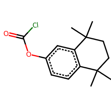 CC1(C)CCC(C)(C)c2cc(OC(=O)Cl)ccc21